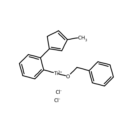 CC1=CCC(c2cccc[c]2[Ti+2][O]Cc2ccccc2)=C1.[Cl-].[Cl-]